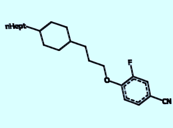 CCCCCCCC1CCC(CCCOc2ccc(C#N)cc2F)CC1